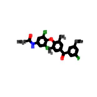 COc1cc(F)cc(C(=O)c2cc(C)c(Oc3c(Cl)cc(NC(=O)C(=O)O)cc3Cl)c(C)c2)c1